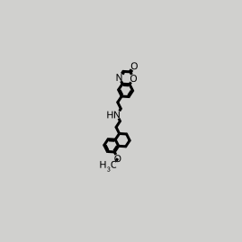 COc1cccc2c1CCCC2CCNCCc1ccc2oc(=O)cnc2c1